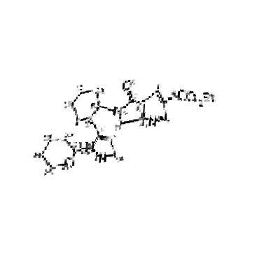 CCOC(=O)c1cnc2c(c1)C(=O)N(C1CCCCC1c1ccnn1C1CCCCO1)C2